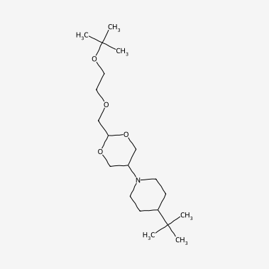 CC(C)(C)OCCOCC1OCC(N2CCC(C(C)(C)C)CC2)CO1